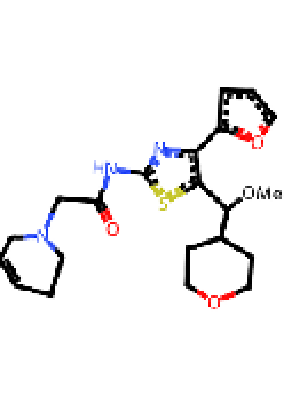 COC(c1sc(NC(=O)CN2CC=CCC2)nc1-c1ccco1)C1CCOCC1